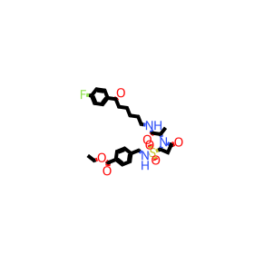 CCOC(=O)c1ccc(CNS(=O)(=O)C2CC(=O)N2C(C)C(=O)NCCCCCC(=O)c2ccc(F)cc2)cc1